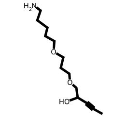 CC#CC(O)COCCCOCCCCCN